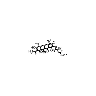 COC(=O)CC(Br)C(=O)Nc1c(O)c2c(c(N(C)C)c1Cl)CC1CC3[C@H](N(C)C)C(O)=C(C(N)=O)C(=O)[C@@]3(O)C(O)=C1C2=O